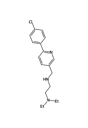 CCN(CC)CCNCc1ccc(-c2ccc(Cl)cc2)nc1